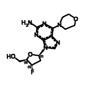 Nc1nc(N2CCOCC2)c2ncn([C@H]3C[C@H](F)[C@@H](CO)O3)c2n1